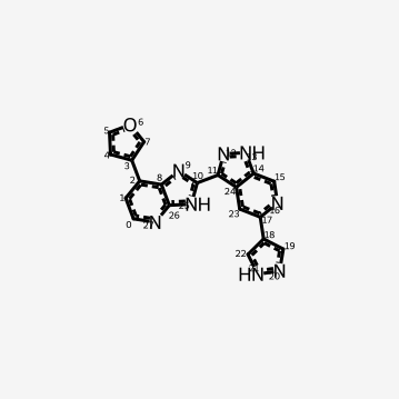 c1cc(-c2ccoc2)c2nc(-c3n[nH]c4cnc(-c5cn[nH]c5)cc34)[nH]c2n1